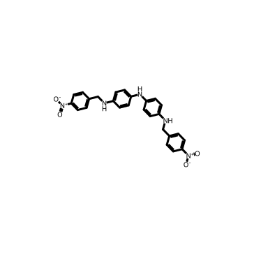 O=[N+]([O-])c1ccc(CNc2ccc(Nc3ccc(NCc4ccc([N+](=O)[O-])cc4)cc3)cc2)cc1